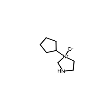 [O-][N+]1(C2CCCC2)CCNC1